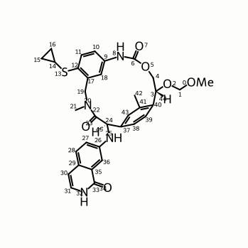 COCO[C@H]1COC(=O)Nc2ccc(SC3CC3)c(c2)CN(C)C(=O)[C@H](Nc2ccc3cc[nH]c(=O)c3c2)c2ccc1c(C)c2